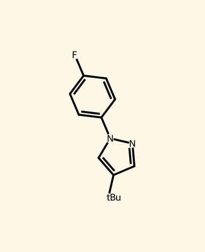 CC(C)(C)c1cnn(-c2ccc(F)cc2)c1